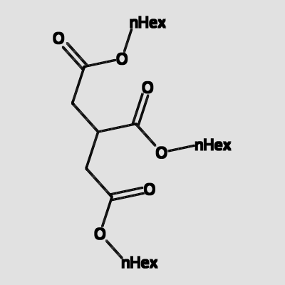 CCCCCCOC(=O)CC(CC(=O)OCCCCCC)C(=O)OCCCCCC